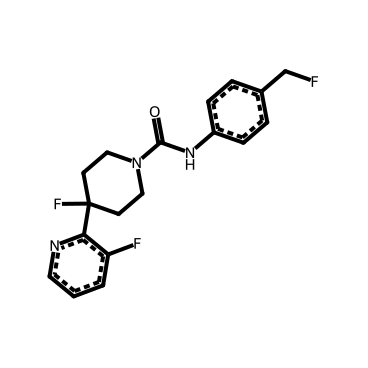 O=C(Nc1ccc(CF)cc1)N1CCC(F)(c2ncccc2F)CC1